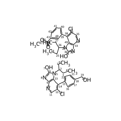 CCC(CC)n1c(O)nc2ncc(Cl)c(-c3ccc(CO)cc3)c21.CCC(CC)n1c(O)nc2ncc(Cl)c(-c3cccc(C(=O)OC)c3)c21